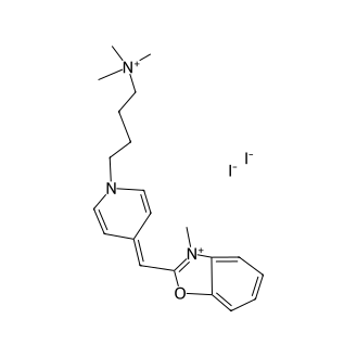 C[n+]1c(C=C2C=CN(CCCC[N+](C)(C)C)C=C2)oc2ccccc21.[I-].[I-]